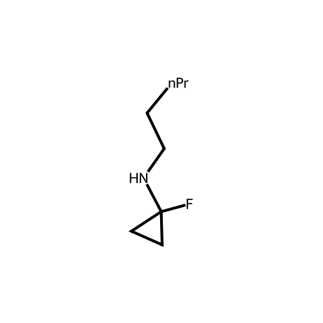 CCCCCNC1(F)CC1